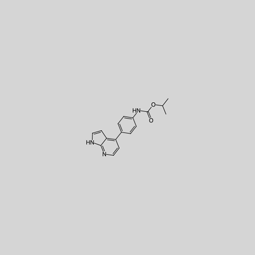 CC(C)OC(=O)Nc1ccc(-c2ccnc3[nH]ccc23)cc1